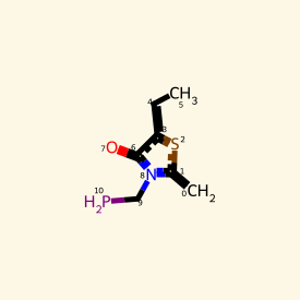 C=c1s/c(=C\C)c(=O)n1CP